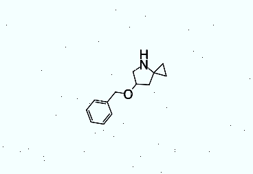 c1ccc(COC2CNC3(CC3)C2)cc1